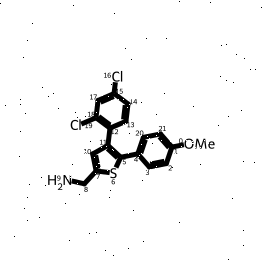 COc1ccc(-c2sc(CN)cc2-c2ccc(Cl)cc2Cl)cc1